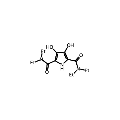 CCN(CC)C(=O)c1[nH]c(C(=O)N(CC)CC)c(O)c1O